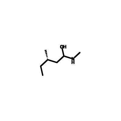 CC[C@H](C)CC(O)NC